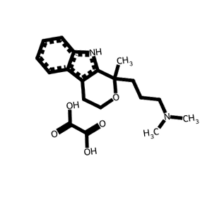 CN(C)CCCC1(C)OCCc2c1[nH]c1ccccc21.O=C(O)C(=O)O